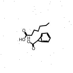 CCCCCCC(=O)O.O=C(O)C1c2ccccc21